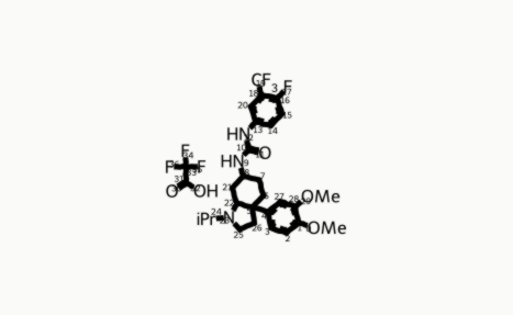 COc1ccc(C23CCC(NC(=O)Nc4ccc(F)c(C(F)(F)F)c4)CC2N(C(C)C)CC3)cc1OC.O=C(O)C(F)(F)F